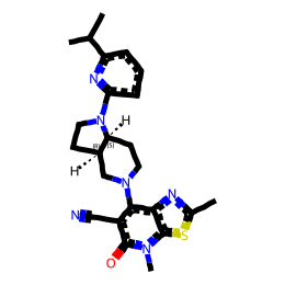 Cc1nc2c(N3CC[C@H]4[C@H](CCN4c4cccc(C(C)C)n4)C3)c(C#N)c(=O)n(C)c2s1